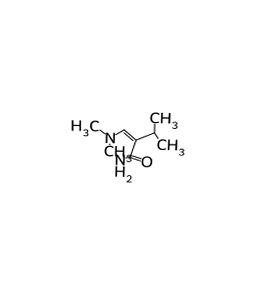 CC(C)C(=CN(C)C)C(N)=O